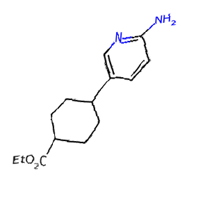 CCOC(=O)C1CCC(c2ccc(N)nc2)CC1